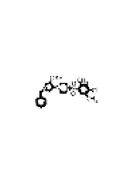 CC(=O)OC1CN(Cc2ccccc2)CC1N1CCN(S(=O)(=O)c2cc(C)c(Cl)cc2C)CC1